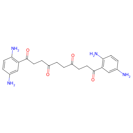 Nc1ccc(N)c(C(=O)CCC(=O)CCC(=O)CCC(=O)c2cc(N)ccc2N)c1